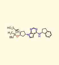 CC(C)(C)[Si](C)(C)O[C@@H]1C[C@H](n2ccc3c(N[C@H]4CCc5ccccc54)ncnc32)C[C@H]1/C=C/S(=O)(=O)O